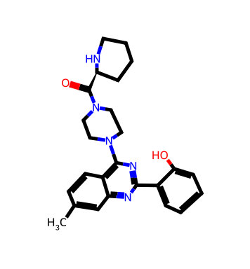 Cc1ccc2c(N3CCN(C(=O)[C@@H]4CCCCN4)CC3)nc(-c3ccccc3O)nc2c1